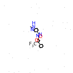 Cc1nc2cc(-c3noc(-c4cc(-c5ccccc5)c(C(F)(F)F)o4)n3)ccc2[nH]1